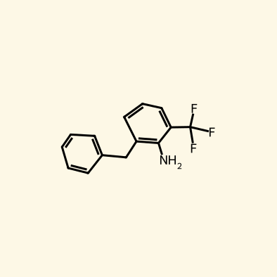 Nc1c(Cc2ccccc2)cccc1C(F)(F)F